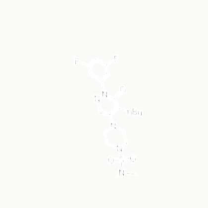 CCCCc1c(N2CCN(S(=O)(=O)N(C)C)CC2)cnn(-c2cc(F)cc(F)c2)c1=O